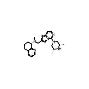 C[C@@H]1CN(c2nccc3nc(CN(C)[C@H]4CCCc5cccnc54)cn23)C[C@H](C)N1